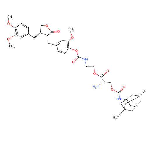 COc1ccc(C[C@H]2COC(=O)[C@@H]2Cc2ccc(OC(=O)NCCOC(=O)[C@@H](N)COC(=O)NC34CC5CC(C)(CC(C)(C5)C3)C4)c(OC)c2)cc1OC